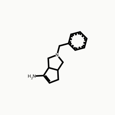 NC1=CCC2CN(Cc3ccccc3)CC12